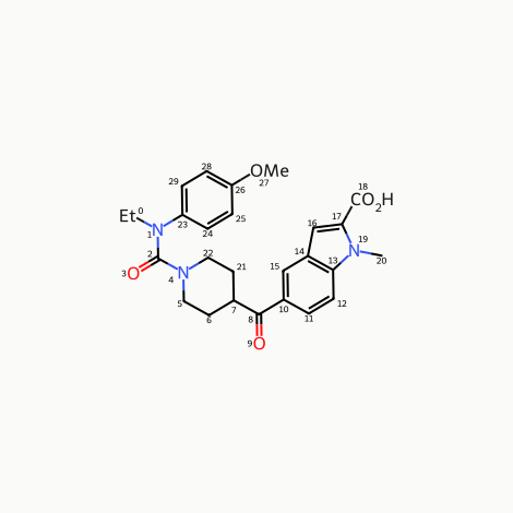 CCN(C(=O)N1CCC(C(=O)c2ccc3c(c2)cc(C(=O)O)n3C)CC1)c1ccc(OC)cc1